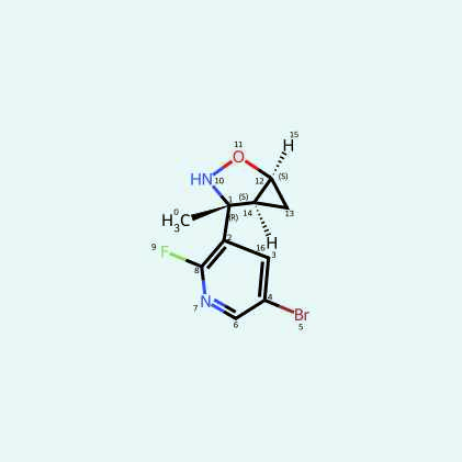 C[C@@]1(c2cc(Br)cnc2F)NO[C@H]2C[C@H]21